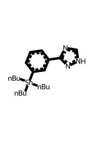 CCC[CH2][Sn]([CH2]CCC)([CH2]CCC)[c]1cccc(-c2nc[nH]n2)c1